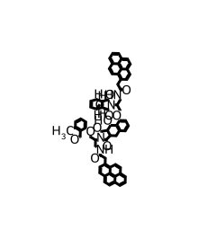 Cc1cccc(OCC(CNC(=O)Cc2ccc3ccc4cccc5ccc2c3c45)N2C(=O)C3Cc4cccc(OCC(CNC(=O)Cc5ccc6ccc7cccc8ccc5c6c78)N5C(=O)[C@@H]6[C@H](C5=O)[C@H]5C=C[C@@H]6O5)c4C(O)C3C2=O)c1C=O